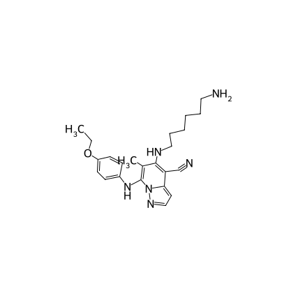 CCOc1ccc(Nc2c(C)c(NCCCCCCN)c(C#N)c3ccnn23)cc1